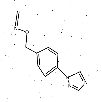 C=NOCc1ccc(-n2cncn2)cc1